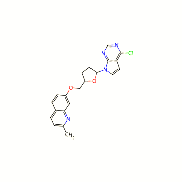 Cc1ccc2ccc(OCC3CCC(n4ccc5c(Cl)ncnc54)O3)cc2n1